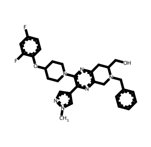 Cn1cc(-c2nc3c(nc2N2CCC(Oc4ccc(F)cc4F)CC2)CC(CO)N(Cc2ccccc2)C3)cn1